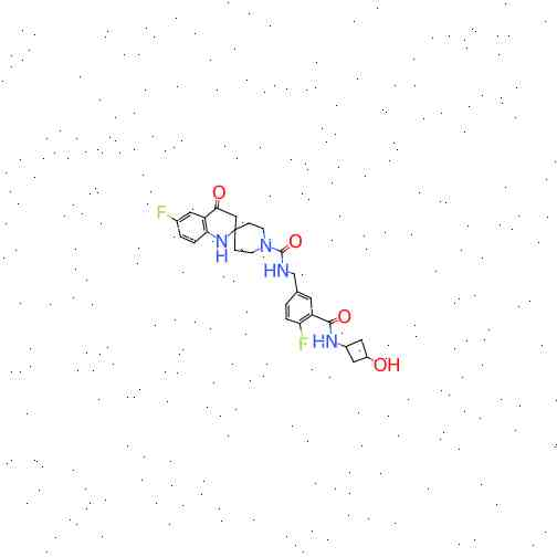 O=C(NC1CC(O)C1)c1cc(CNC(=O)N2CCC3(CC2)CC(=O)c2cc(F)ccc2N3)ccc1F